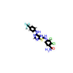 NC(=O)c1ccc(Nc2nc3c(Nc4ccc(C(F)(F)F)cc4)ncnc3s2)c(Cl)c1Cl